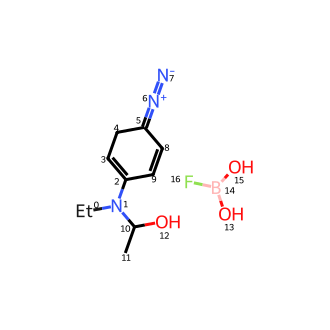 CCN(C1=CCC(=[N+]=[N-])C=C1)C(C)O.OB(O)F